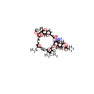 C=C1CC2CCC34CC(OC)C(O3)[C@H]3CC(O4)[C@H]4OC(CCC4O3)CC(=O)OC3C(CC4OC(CCC1O2)C[C@@H](C)C4=C)O[C@H]1C[C@H]2OC(C)(C)OC[C@H]2O[C@H]1[C@@H]3N